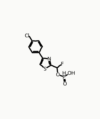 O=[PH](O)OC(F)c1nc(-c2ccc(Cl)cc2)cs1